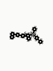 c1ccc(-c2ccc(-c3nc(-c4ccccc4)nc(-c4cc5sc6cc(-c7ccc(-c8cccc9ccccc89)cc7)ccc6c5c5ccccc45)n3)cc2)cc1